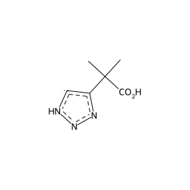 CC(C)(C(=O)O)c1[c][nH]nn1